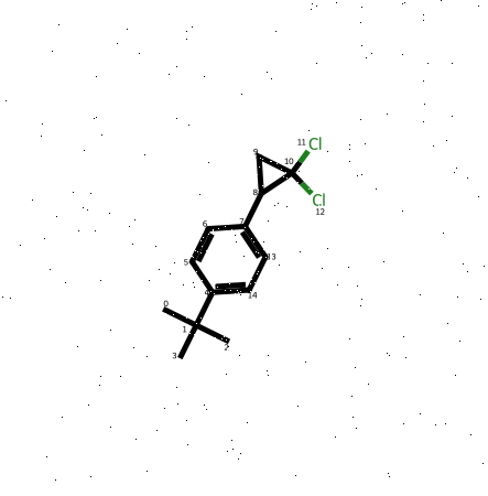 CC(C)(C)c1ccc(C2CC2(Cl)Cl)cc1